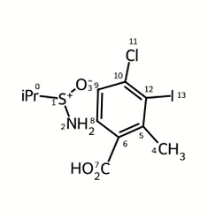 CC(C)[S+](N)[O-].Cc1c(C(=O)O)ccc(Cl)c1I